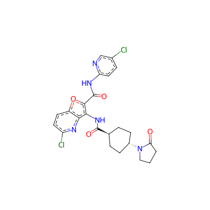 O=C(Nc1ccc(Cl)cn1)c1oc2ccc(Cl)nc2c1NC(=O)[C@H]1CC[C@H](N2CCCC2=O)CC1